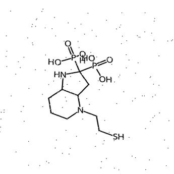 O=P(O)(O)C1(P(=O)(O)O)CC2C(CCCN2CCS)N1